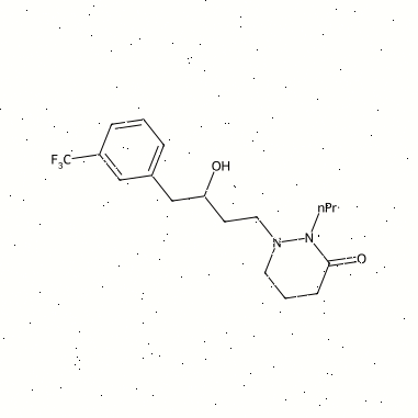 CC[CH]N1C(=O)CCCN1CCC(O)Cc1cccc(C(F)(F)F)c1